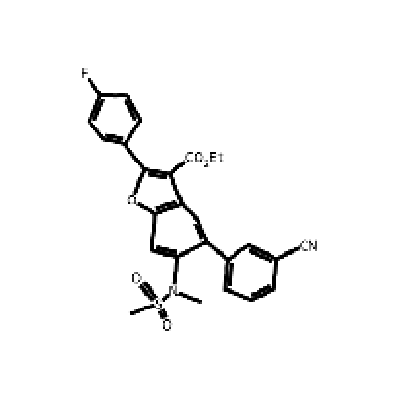 CCOC(=O)c1c(-c2ccc(F)cc2)oc2cc(N(C)S(C)(=O)=O)c(-c3cccc(C#N)c3)cc12